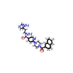 O=C(NCCc1cnc[nH]1)c1ccc(N2CCN(C(=O)c3ccc4ccccc4c3)CC2)nc1